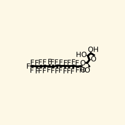 O=C(O[C@H](CO)[C@H]1OC[C@H](O)[C@H]1O)C(F)(F)C(F)(F)C(F)(F)C(F)(F)C(F)(F)C(F)(F)C(F)(F)C(F)(F)C(F)(F)C(F)(F)C(F)(F)C(F)(F)F